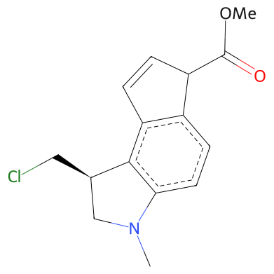 COC(=O)C1C=Cc2c1ccc1c2[C@H](CCl)CN1C